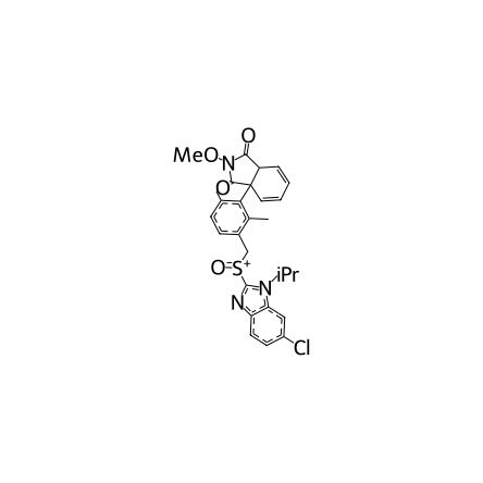 CON1C(=O)C2C=CC=CC2(c2c(C)ccc(C[S+]([O-])c3nc4ccc(Cl)cc4n3C(C)C)c2C)C1=O